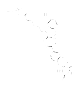 C=C1NC(=O)C2(CCc3cc(C(=O)N[C@H](Cc4ccc(O)cc4)C(=O)NCCCCNC(=O)OC(C)(C)C)ccc3C2)N1